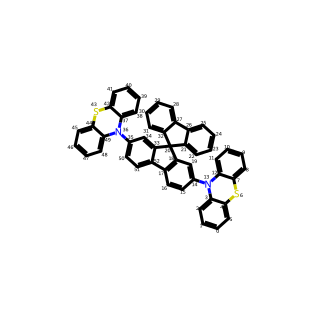 c1ccc2c(c1)Sc1ccccc1N2c1ccc2c(c1)C1(c3ccccc3-c3ccccc31)c1cc(N3c4ccccc4Sc4ccccc43)ccc1-2